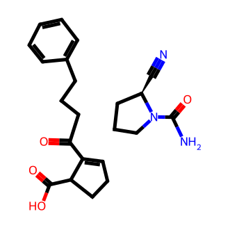 N#C[C@@H]1CCCN1C(N)=O.O=C(CCCc1ccccc1)C1=CCCC1C(=O)O